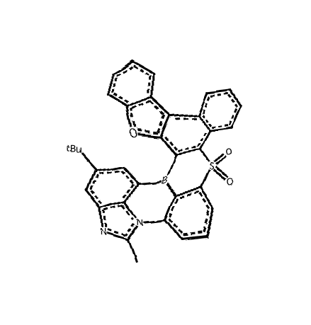 Cc1nc2cc(C(C)(C)C)cc3c2n1-c1cccc2c1B3c1c(c3ccccc3c3c1oc1ccccc13)S2(=O)=O